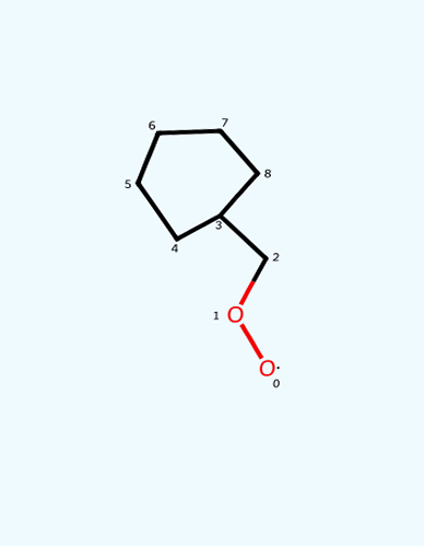 [O]OCC1CCCCC1